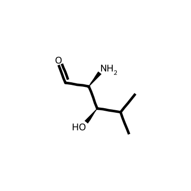 CC(C)[C@@H](O)[C@H](N)C=O